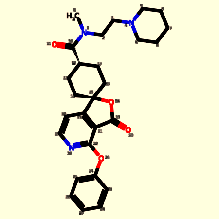 CN(CCN1CCCCC1)C(=O)[C@H]1CC[C@@]2(CC1)OC(=O)c1c(Oc3ccccc3)nccc12